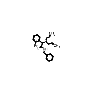 C=CCN(CC=C)C(C(=O)NCc1ccccc1)c1ccccc1Br